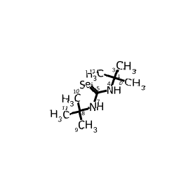 CC(C)(C)NC(=[Se])NC(C)(C)C